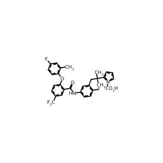 Cc1cc(F)ccc1Oc1ccc(C(F)(F)F)cc1C(=O)Nc1ccc(F)c(CC(C)(C)c2cccn2C(=O)O)c1